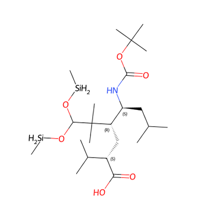 C[SiH2]OC(O[SiH2]C)C(C)(C)[C@@H](C[C@H](C(=O)O)C(C)C)[C@H](CC(C)C)NC(=O)OC(C)(C)C